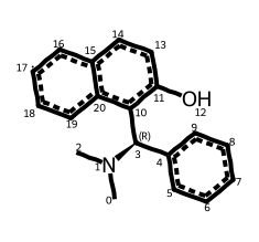 CN(C)[C@H](c1ccccc1)c1c(O)ccc2c[c]ccc12